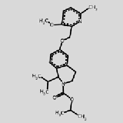 COc1ccc(C)nc1COc1ccc2c(c1)CCN(C(=O)OC(C)C)C2C(C)C